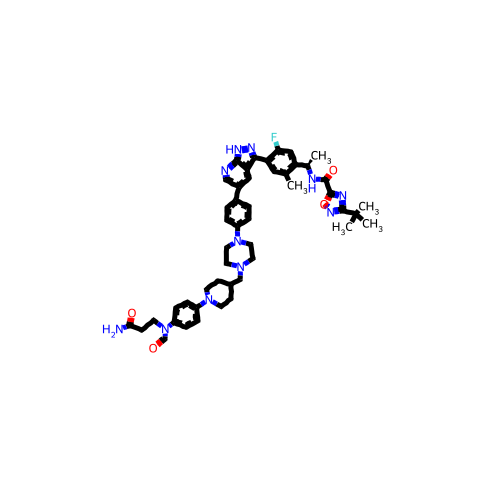 Cc1cc(-c2n[nH]c3ncc(-c4ccc(N5CCN(CC6CCN(c7ccc(N(C=O)CCC(N)=O)cc7)CC6)CC5)cc4)cc23)c(F)cc1[C@@H](C)NC(=O)c1nc(C(C)(C)C)no1